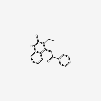 CCn1c(=O)[nH]c2ccccc2c1=NC(=O)c1ccccc1